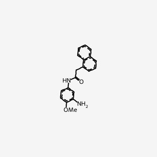 COc1ccc(NC(=O)Cc2cccc3ccccc23)cc1N